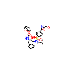 COCc1ncc(-c2ccc(S(=O)(=O)N(CC(C)C)C[C@@H](O)[C@H](Cc3ccccc3)NC(=O)OC3C4COC5OC3CC5C4)cc2)o1